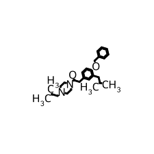 CC(C)Cc1cc(CC(=O)N2CCN(CC(C)C)CC2)ccc1OCc1ccccc1